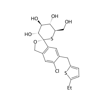 CCc1ccc(Cc2cc3c(cc2Cl)CO[C@]32S[C@H](CO)[C@@H](O)[C@H](O)[C@H]2O)s1